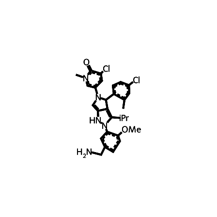 COc1ccc(CN)cc1N1NC2=CN(c3cc(Cl)c(=O)n(C)c3)C(c3ccc(Cl)cc3C)C2=C1C(C)C